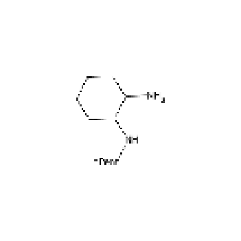 CCCCCNC1CCCCC1N